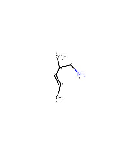 CC=CC(CN)C(=O)O